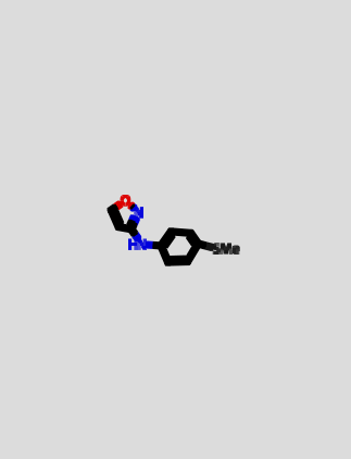 CSc1ccc(Nc2ccon2)cc1